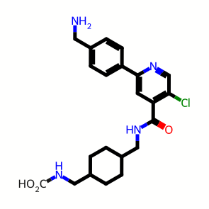 NCc1ccc(-c2cc(C(=O)NCC3CCC(CNC(=O)O)CC3)c(Cl)cn2)cc1